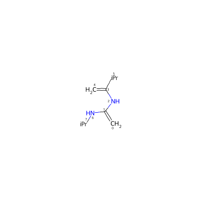 C=C(NC(=C)C(C)C)NC(C)C